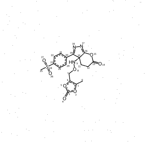 Cc1oc(=O)oc1CONC12CCC(=O)OC1=NN=C2c1ccc(S(C)(=O)=O)cc1